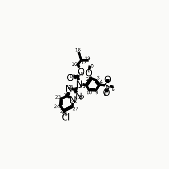 COc1cc(S(C)(=O)=O)ccc1N(C(=O)OCC(C)C)c1nc2ccc(Cl)cn2n1